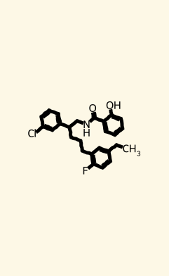 CCc1ccc(F)c(CCCC(CNC(=O)c2ccccc2O)c2cccc(Cl)c2)c1